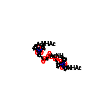 CC(=O)CCC1(C)CC(n2c(=O)n(C3CCCC(CCC(=O)OCC(C)(C)COC(=O)OCC(C)(C)COC(=O)CCC4(C)CC(n5c(=O)n(C6CC(C)(C)CC(C)(CNC(C)=O)C6)c(=O)n(C6CC(C)(C)CC(C)(CNC(C)=O)C6)c5=O)CC(C)(C)C4)C3)c(=O)n(C3CC(C)(C)CC(C)(CNC(C)=O)C3)c2=O)CC(C)(C)C1